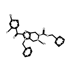 CC(C)N1Cc2c(nc(C(=O)c3ccc(Br)cc3F)n2Cc2ccccc2)C[C@H]1C(=O)OCc1ccccc1